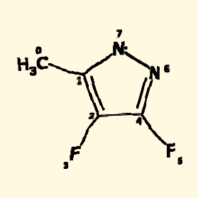 CC1=C(F)C(F)=N[N]1